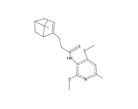 CSc1cc(C)nc(SC)c1NC(=S)CCC1=CCC2CC1C2(C)C